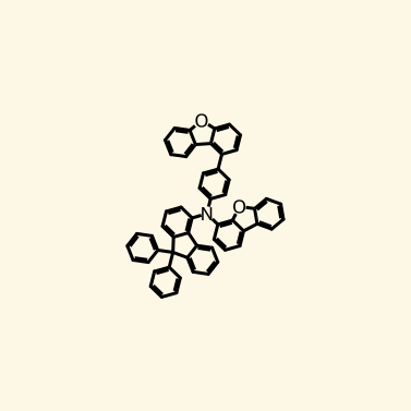 c1ccc(C2(c3ccccc3)c3ccccc3-c3c(N(c4ccc(-c5cccc6oc7ccccc7c56)cc4)c4cccc5c4oc4ccccc45)cccc32)cc1